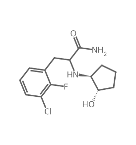 NC(=O)C(Cc1cccc(Cl)c1F)N[C@H]1CCC[C@@H]1O